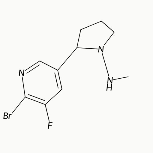 CNN1CCCC1c1cnc(Br)c(F)c1